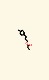 CCC(=O)OC/C=C/c1ccc(C)cc1